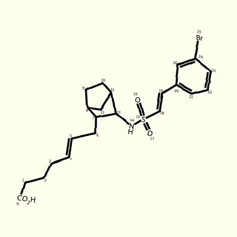 O=C(O)CCCC=CCC1C2CCC(C2)C1NS(=O)(=O)C=Cc1cccc(Br)c1